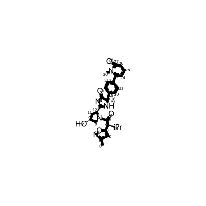 Cc1cc([C@@H](C(=O)N2C[C@H](O)C[C@H]2C2=NC(=O)[C@@](C)(c3ccc(-c4cccc(=O)n4C)cc3)N2)C(C)C)on1